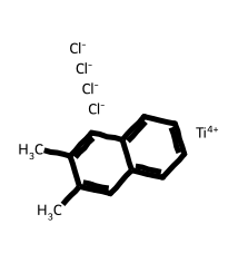 Cc1cc2ccccc2cc1C.[Cl-].[Cl-].[Cl-].[Cl-].[Ti+4]